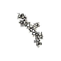 COCCOc1c(-c2ccc3nc(C4CCCN4C(=O)CNC(=O)OC)[nH]c3c2)ccc(-c2ccc3nc([C@@H]4CCCN4C(=O)C(NC(=O)OC)C(C)C)[nH]c3c2)c1OCCOC